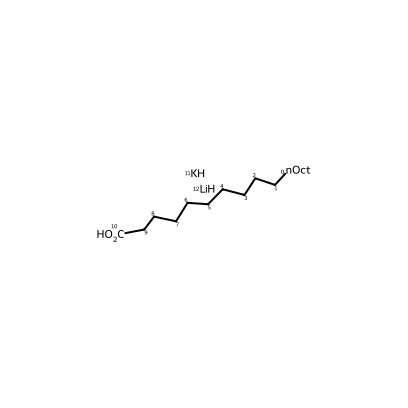 CCCCCCCCCCCCCCCCCC(=O)O.[KH].[LiH]